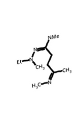 CCN(C)/N=C(\CC/C(C)=N\C)NC